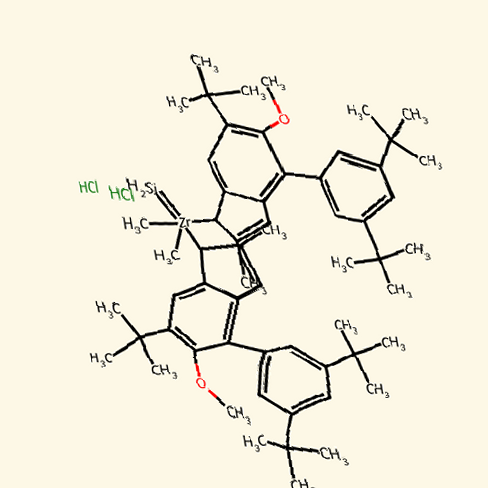 COc1c(C(C)(C)C)cc2c(c1-c1cc(C(C)(C)C)cc(C(C)(C)C)c1)C=C(C)[CH]2[Zr]([CH3])([CH3])(=[SiH2])[CH]1C(C)=Cc2c1cc(C(C)(C)C)c(OC)c2-c1cc(C(C)(C)C)cc(C(C)(C)C)c1.Cl.Cl